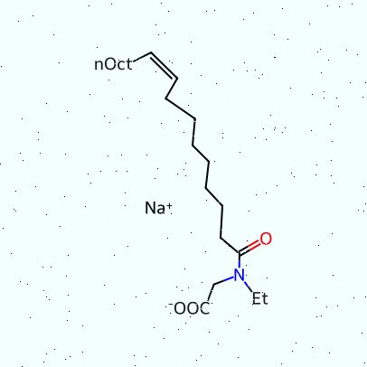 CCCCCCCC/C=C\CCCCCCCC(=O)N(CC)CC(=O)[O-].[Na+]